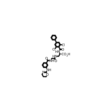 O=C(CNC(=O)c1cccc(NC2=NCCCO2)c1)NC[C@H](NC(=O)c1c(Cl)cc(-c2ccccc2)cc1Cl)C(=O)O